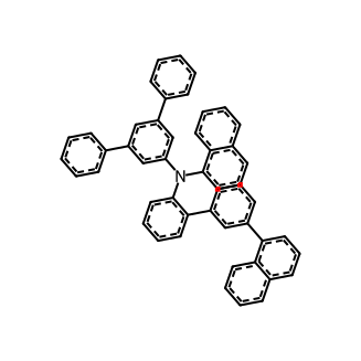 c1ccc(-c2cc(-c3ccccc3)cc(N(c3ccccc3-c3cccc(-c4cccc5ccccc45)c3)c3cccc4ccccc34)c2)cc1